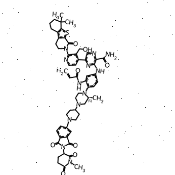 C=CC(=O)Nc1cc(Nc2nc(-c3ccnc(N4CCc5c(sc6c5CCCC6(C)C)C4=O)c3CO)cnc2C(N)=O)ccc1N1CCN(C2CCN(c3ccc4c(c3)C(=O)N(C3CCC(=O)N(C)C3=O)C4=O)CC2)C[C@@H]1C